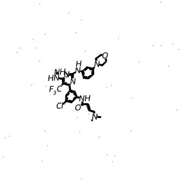 CN(C)C/C=C/C(=O)Nc1cc(Cl)cc(-c2nc(Nc3cccc(N4CCOCC4)c3)nc(NN)c2C(F)(F)F)c1